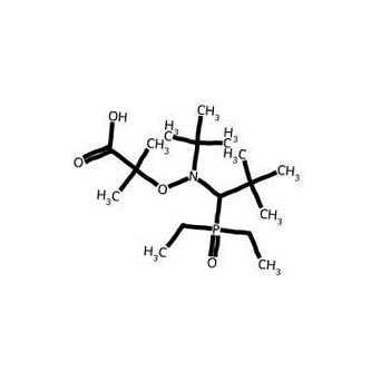 CCP(=O)(CC)C(N(OC(C)(C)C(=O)O)C(C)(C)C)C(C)(C)C